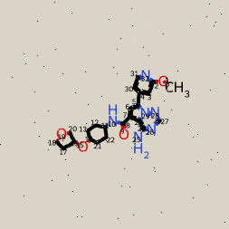 COc1cc(-c2cc(C(=O)NC3CCC(OC4CCOC4)CC3)c3c(N)ncnn23)ccn1